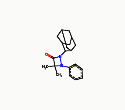 CC1(C)C(=O)N(C2C3CC4CC(C3)CC2C4)N1c1ccccc1